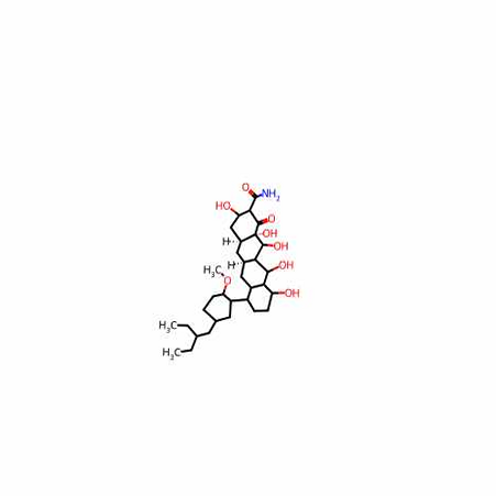 CCC(CC)CC1CCC(OC)C(C2CCC(O)C3C(O)C4C(O)[C@]5(O)C(=O)C(C(N)=O)C(O)C[C@@H]5C[C@@H]4CC23)C1